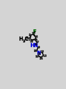 Cc1cc(F)cc(CNCCN2CCCC2)c1